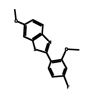 COc1ccc2nc(-c3ccc(F)cc3OC)sc2c1